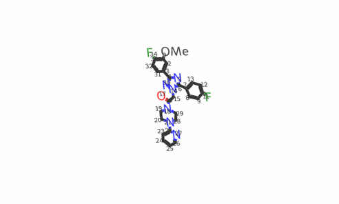 COc1cc(-c2nc(-c3ccc(F)cc3)n(CC(=O)N3CCN(c4ccccn4)CC3)n2)ccc1F